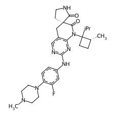 CC(C)C1(N2C(=O)[C@@]3(CCNC3=O)Cc3cnc(Nc4ccc(N5CCN(C)CC5)c(F)c4)nc32)CC[C@H]1C